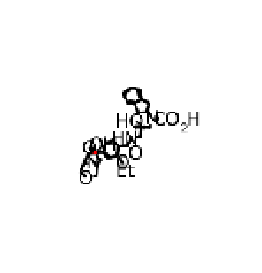 CCOc1cc(C(=O)N2C3COCC2CC(O)C3)ccc1C(=O)NC[C@@H](O)CN(C(=O)O)C1Cc2ccccc2C1